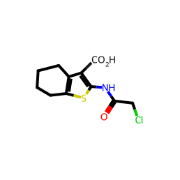 O=C(CCl)Nc1sc2c(c1C(=O)O)CCCC2